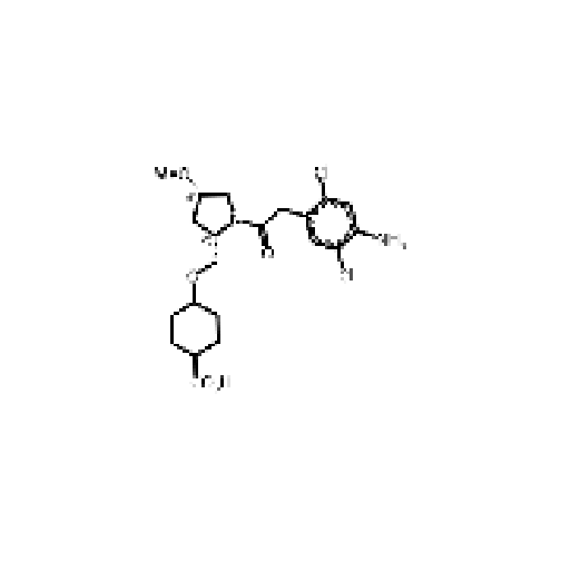 CO[C@H]1C[C@@H](COC2CCC(C(=O)O)CC2)N(C(=O)Cc2cc(Cl)c(N)cc2Cl)C1